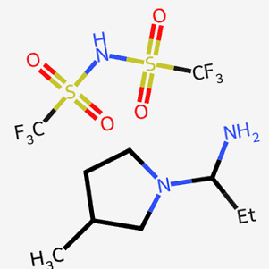 CCC(N)N1CCC(C)C1.O=S(=O)(NS(=O)(=O)C(F)(F)F)C(F)(F)F